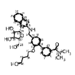 CN(C)C(=O)c1cccc(-c2ccc(CNc3nc4ccccc4n3[C@@H]3O[C@H](CO)[C@@H](O)[C@H]3O)cc2OCCCCO)c1